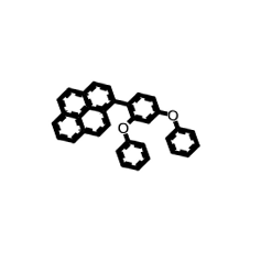 c1ccc(Oc2ccc(-c3ccc4ccc5cccc6ccc3c4c56)c(Oc3ccccc3)c2)cc1